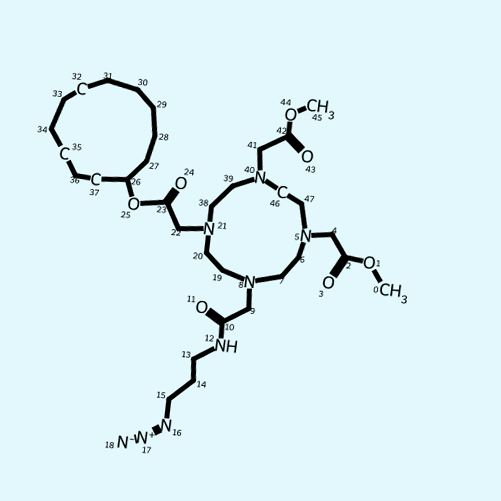 COC(=O)CN1CCN(CC(=O)NCCCN=[N+]=[N-])CCN(CC(=O)OC2CCCCCCCCCCC2)CCN(CC(=O)OC)CC1